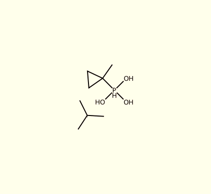 CC1([PH](O)(O)O)CC1.C[C](C)C